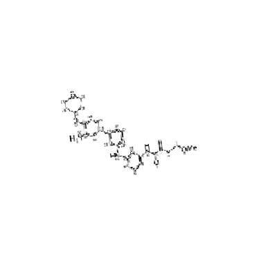 COCCNC(=O)Nc1cccc(Nc2nccc(-c3ccc(OC4CCOCC4)c(N)c3)n2)c1